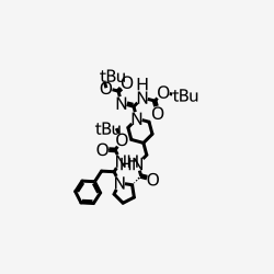 CC(C)(C)OC(=O)N=C(NC(=O)OC(C)(C)C)N1CCC(CNC(=O)[C@@H]2CCCN2C(Cc2ccccc2)NC(=O)OC(C)(C)C)CC1